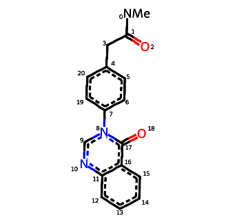 CNC(=O)Cc1ccc(-n2cnc3ccccc3c2=O)cc1